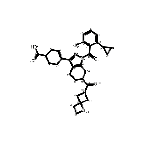 O=C(O)C1CC=C(c2nn(C(=O)c3c(Cl)cccc3C3CC3)c3c2CCC(C(=O)N2CC4(CCO4)C2)C3)CC1